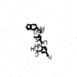 Cc1sc(C(=O)Nc2ccc(C#N)cc2C(=O)O)cc1S(=O)(=O)Nc1ccc2c(c1)CCC2